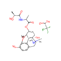 CC(NC(=O)[C@H](C)O)C(=O)OC1=CC[C@@]2(O)[C@H]3Cc4ccc(O)c5c4[C@@]2(CCN3C)[C@H]1O5.O=C(O)C(F)(F)F